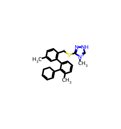 Cc1ccc([CH]Sc2n[nH]c[n+]2C)c(-c2cccc(C)c2C2=CC=CCC2)c1